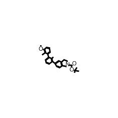 COc1cccc(-c2cccc(-c3ccc4c(c3)CCN(C(=O)OC(C)(C)C)C4)c2C)c1C